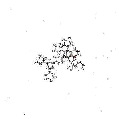 CC1(C)c2ccccc2-c2ccc(N(c3ccc(-c4cc(-c5ccccc5)cc(-c5ccccc5)c4)cc3)c3c(-c4ccccc4)c4ccccc4c4ccccc34)cc21